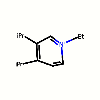 CC[n+]1ccc(C(C)C)c(C(C)C)c1